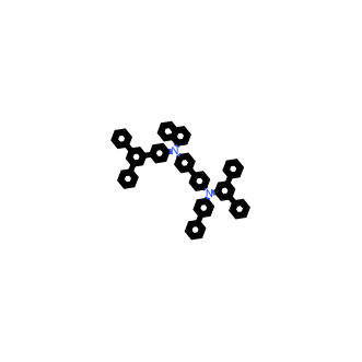 c1ccc(-c2ccc(N(c3ccc(-c4ccc(N(c5ccc(-c6cc(-c7ccccc7)cc(-c7ccccc7)c6)cc5)c5cccc6ccccc56)cc4)cc3)c3cc(-c4ccccc4)cc(-c4ccccc4)c3)cc2)cc1